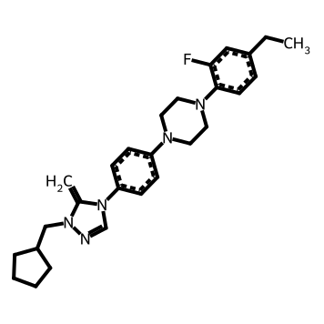 C=C1N(CC2CCCC2)N=CN1c1ccc(N2CCN(c3ccc(CC)cc3F)CC2)cc1